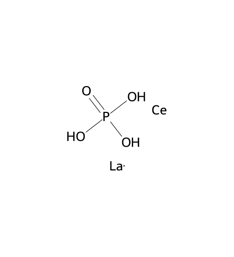 O=P(O)(O)O.[Ce].[La]